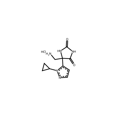 Cl.NCC1(c2ccnn2C2CC2)NC(=O)NC1=O